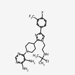 CCC(C)(C)NCCn1cc(-c2ccc(F)c(C(F)(F)F)c2)nc1C1CCN(c2ncnc(N)c2N)CC1